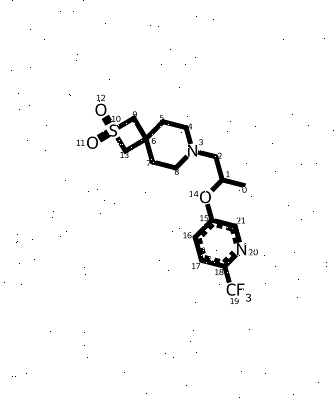 CC(CN1CCC2(CC1)CS(=O)(=O)C2)Oc1ccc(C(F)(F)F)nc1